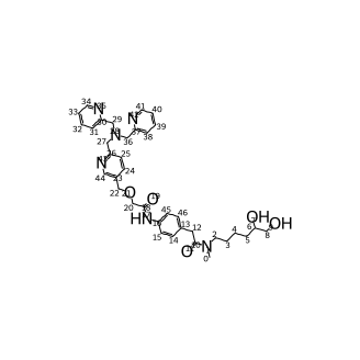 CN(CCCCC(O)CO)C(=O)Cc1ccc(NC(=O)COCc2ccc(CN(Cc3ccccn3)Cc3ccccn3)nc2)cc1